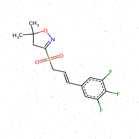 CC1(C)CC(S(=O)(=O)CC=Cc2cc(F)c(F)c(F)c2)=NO1